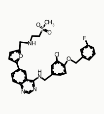 CS(=O)(=O)CCNCc1ccc(-c2ccc3ncnc(NCc4ccc(OCc5cccc(F)c5)c(Cl)c4)c3c2)o1